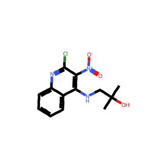 CC(C)(O)CNc1c([N+](=O)[O-])c(Cl)nc2ccccc12